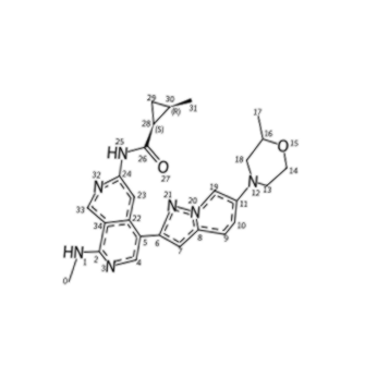 CNc1ncc(-c2cc3ccc(N4CCOC(C)C4)cn3n2)c2cc(NC(=O)[C@H]3C[C@H]3C)ncc12